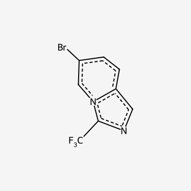 FC(F)(F)c1ncc2ccc(Br)cn12